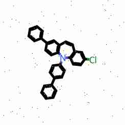 Clc1ccc2c(c1)C=Cc1cc(-c3ccccc3)ccc1N2c1ccc(-c2ccccc2)cc1